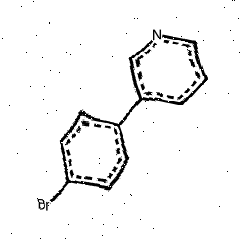 Brc1ccc(-c2cccnc2)cc1